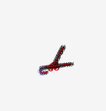 CCCCC/C=C\C/C=C\C/C=C\CCCCCCCCC(=O)OC[C@@H](COC(=O)CCCCCCCCCCCCCCC)OC(=O)CCCCCCCCCCCCCCCCCCC